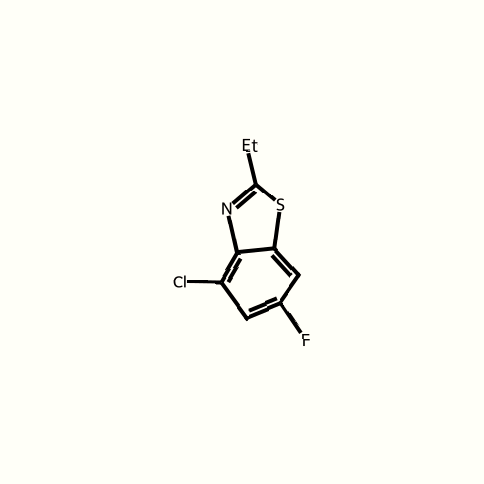 CCc1nc2c(Cl)cc(F)cc2s1